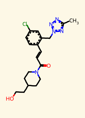 Cc1nnn(Cc2cc(Cl)ccc2C=CC(=O)N2CCC(CCO)CC2)n1